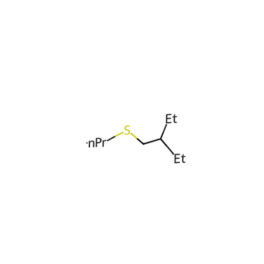 CC[CH]SCC(CC)CC